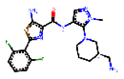 Cn1ncc(NC(=O)c2nc(-c3c(F)cccc3F)sc2N)c1N1CCC[C@H](CN)C1